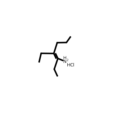 CCCC(CC)=C(N)CC.Cl